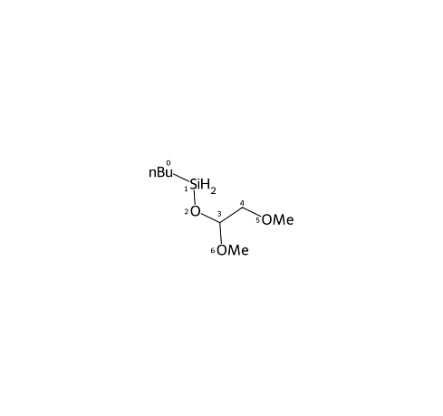 CCCC[SiH2]OC(COC)OC